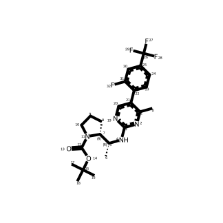 Cc1nc(N[C@H](C)[C@H]2CCCN2C(=O)OC(C)(C)C)ncc1-c1ccc(C(F)(F)F)cc1F